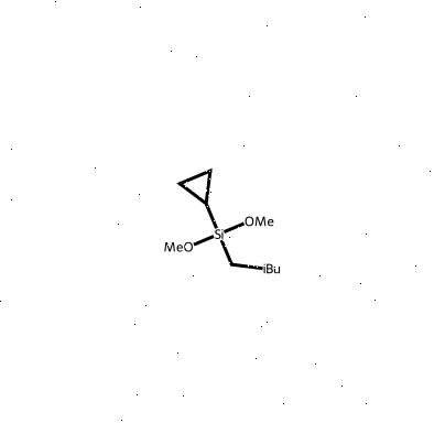 CCC(C)C[Si](OC)(OC)C1CC1